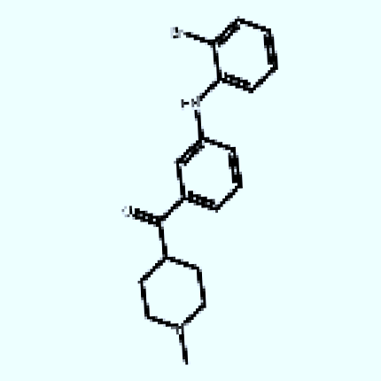 CN1CCC(C(=O)c2cccc(Nc3ccccc3Br)c2)CC1